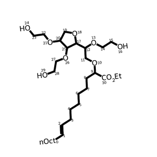 CCCCCCCCC=CCCCCCCC(OCC(OCCO)C1OCC(OCCO)C1OCCO)C(=O)OCC